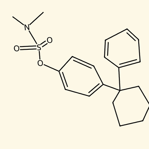 CN(C)S(=O)(=O)Oc1ccc(C2(c3ccccc3)CCCCC2)cc1